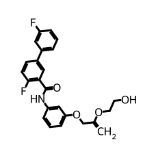 C=C(COc1cccc(NC(=O)c2cc(-c3cccc(F)c3)ccc2F)c1)OCCO